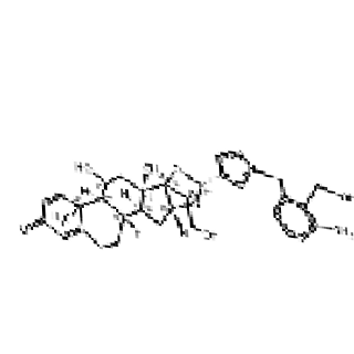 C[C@]12C=CC(=O)C=C1CC[C@@H]1[C@@H]2[C@@H](O)C[C@@]2(C)[C@H]1C[C@H]1O[C@@H](c3ccn(Cc4cccc(N)c4CO)c3)O[C@]12C(=O)CO